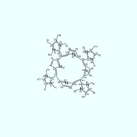 Cc1c(C)[n+](C)c(C2=C3C=CC(=N3)C(c3n(C)c(C)c(C)[n+]3C)=C3C=CC(=N3)C(c3n(C)c(C)c(C)[n+]3C)=C3C=CC(=N3)C(c3n(C)c(C)c(C)[n+]3C)=C3C=CC2=N3)n1C